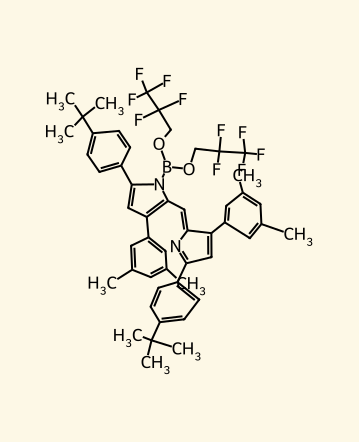 Cc1cc(C)cc(C2=CC(c3ccc(C(C)(C)C)cc3)=N/C2=C\c2c(-c3cc(C)cc(C)c3)cc(-c3ccc(C(C)(C)C)cc3)n2B(OCC(F)(F)C(F)(F)F)OCC(F)(F)C(F)(F)F)c1